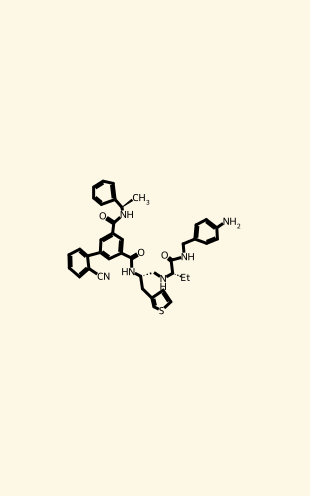 CC[C@H](NC[C@H](Cc1ccsc1)NC(=O)c1cc(C(=O)N[C@H](C)c2ccccc2)cc(-c2ccccc2C#N)c1)C(=O)NCc1ccc(N)cc1